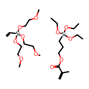 C=C(C)C(=O)OCCC[Si](OCC)(OCC)OCC.C=C[Si](OCCOC)(OCCOC)OCCOC